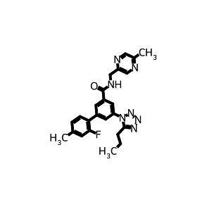 CCCc1nnnn1-c1cc(C(=O)NCc2cnc(C)cn2)cc(-c2ccc(C)cc2F)c1